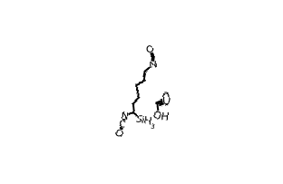 O=C=NCCCCCC([SiH3])N=C=O.O=CO